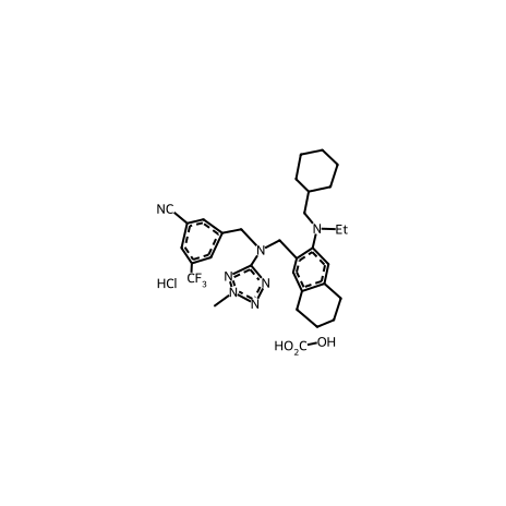 CCN(CC1CCCCC1)c1cc2c(cc1CN(Cc1cc(C#N)cc(C(F)(F)F)c1)c1nnn(C)n1)CCCC2.Cl.O=C(O)O